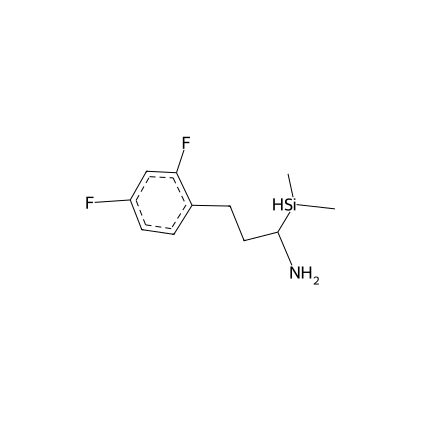 C[SiH](C)C(N)CCc1ccc(F)cc1F